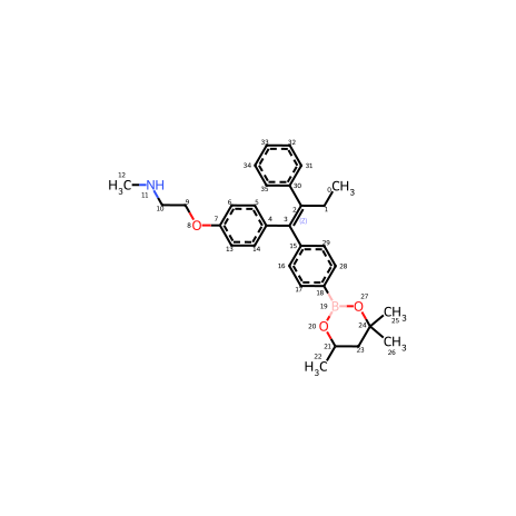 CC/C(=C(/c1ccc(OCCNC)cc1)c1ccc(B2OC(C)CC(C)(C)O2)cc1)c1ccccc1